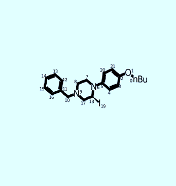 CCCCOc1ccc(N2CCN(Cc3ccccc3)C[C@@H]2I)cc1